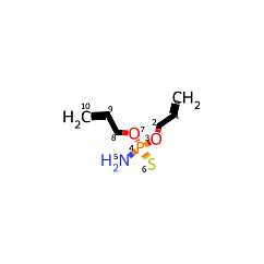 C=CCOP(N)(=S)OCC=C